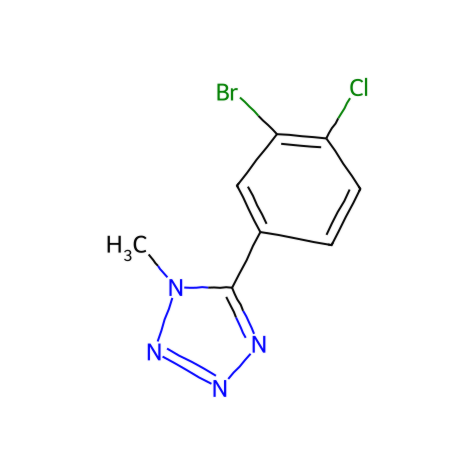 Cn1nnnc1-c1ccc(Cl)c(Br)c1